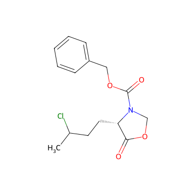 CC(Cl)CC[C@H]1C(=O)OCN1C(=O)OCc1ccccc1